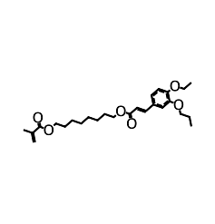 C=C(C)C(=O)OCCCCCCCCOC(=O)/C=C/c1ccc(OCC)c(OCCC)c1